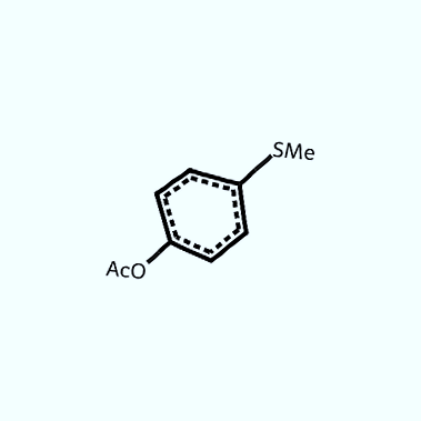 CSc1ccc(OC(C)=O)cc1